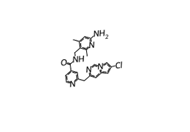 Cc1cc(N)nc(C)c1CNC(=O)c1ccnc(Cc2cc3cc(Cl)cn3cn2)c1